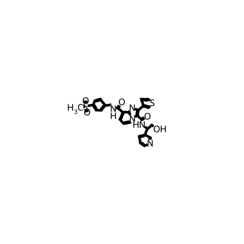 CS(=O)(=O)c1ccc(CNC(=O)c2cccn3c(C(=O)NC(CO)c4cccnc4)c(-c4ccsc4)nc23)cc1